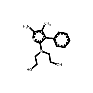 Cc1c(N)oc(N(CCO)CCO)c1-c1ccccc1